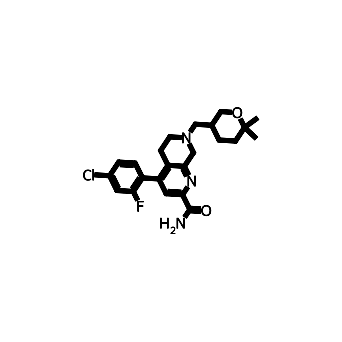 CC1(C)CCC(CN2CCc3c(-c4ccc(Cl)cc4F)cc(C(N)=O)nc3C2)CO1